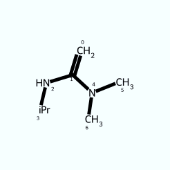 C=C(NC(C)C)N(C)C